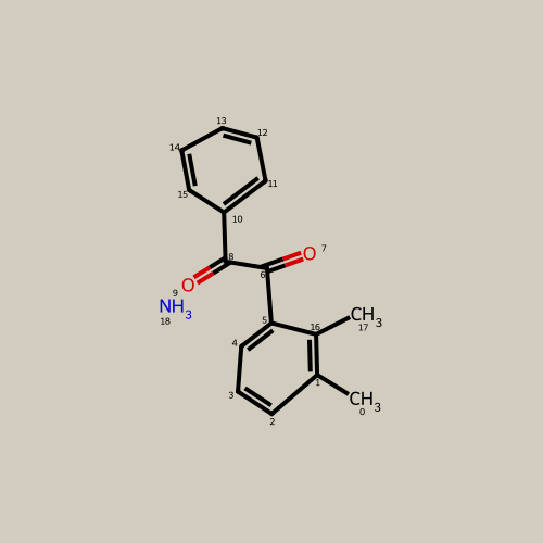 Cc1cccc(C(=O)C(=O)c2ccccc2)c1C.N